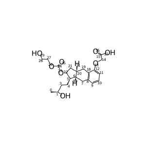 C[C@H](O)CC[C@@H]1[C@H]2Cc3cccc(OCC(=O)O)c3C[C@H]2C[C@H]1OC(=O)OCCO